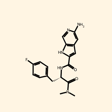 CN(C)C(=O)[C@H](Cc1ccc(F)cc1)NC(=O)c1cc2cc(N)ncc2[nH]1